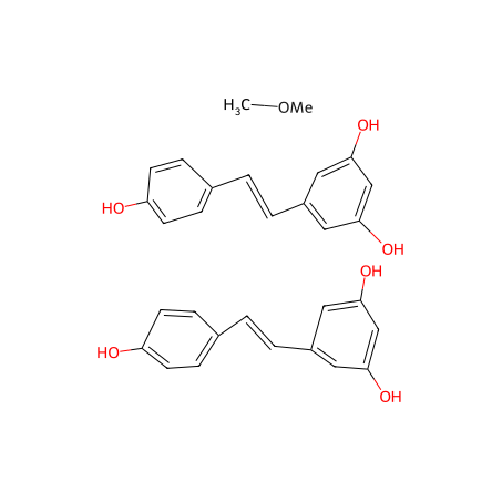 COC.Oc1ccc(/C=C/c2cc(O)cc(O)c2)cc1.Oc1ccc(/C=C/c2cc(O)cc(O)c2)cc1